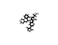 Cc1nnn(C)c1-c1cnc2c3c(cc(C(C)(C)O)n3C)n(C(CC3CCOCC3)c3ccccc3F)c2c1